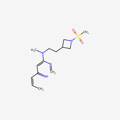 C=N/C(=C\C(=N)/C=C\C)N(C)CCC1CN(S(C)(=O)=O)C1